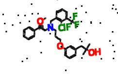 CO[C@@H](CN(CCCOc1cccc(CC(C)(C)O)c1)Cc1cccc(C(F)(F)F)c1Cl)c1ccccc1